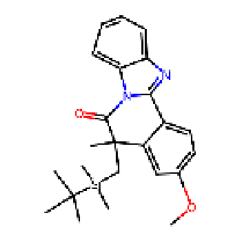 COc1ccc2c(c1)C(C)(C[Si](C)(C)C(C)(C)C)C(=O)n1c-2nc2ccccc21